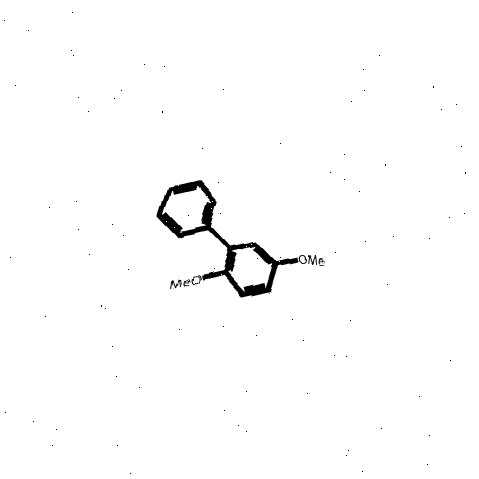 COc1[c]cc(OC)c(-c2ccccc2)c1